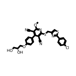 COc1nc(SCc2csc(-c3ccc(Cl)cc3)n2)c(C#N)c(-c2ccc(OC[C@H](O)CO)cc2)c1C#N